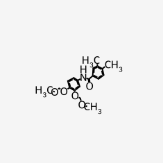 COCOc1ccc(NC(=O)c2ccc(C)c(C)c2)cc1OCOC